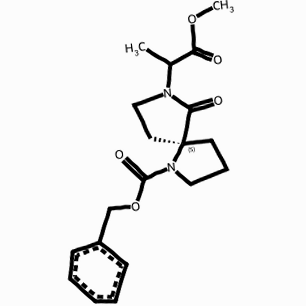 COC(=O)C(C)N1CC[C@@]2(CCCN2C(=O)OCc2ccccc2)C1=O